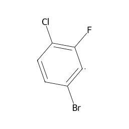 Fc1[c]c(Br)ccc1Cl